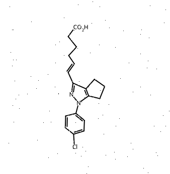 O=C(O)CCCC=Cc1nn(-c2ccc(Cl)cc2)c2c1CCC2